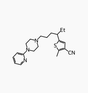 CCC(CCCN1CCN(c2ccccn2)CC1)c1cc(C#N)c(C)s1